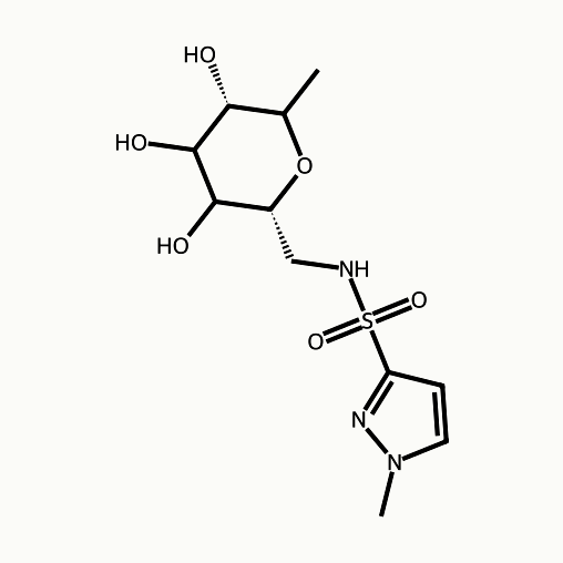 CC1O[C@H](CNS(=O)(=O)c2ccn(C)n2)C(O)C(O)[C@@H]1O